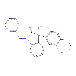 O=C1N(Cc2ncccn2)c2ccccc2[C@]12COc1cc3c(cc12)OCCO3